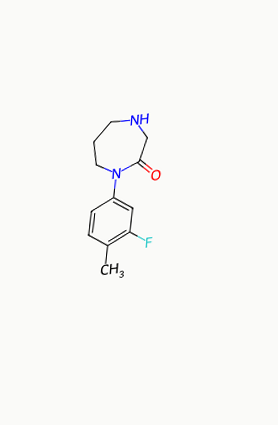 Cc1ccc(N2CCCNCC2=O)cc1F